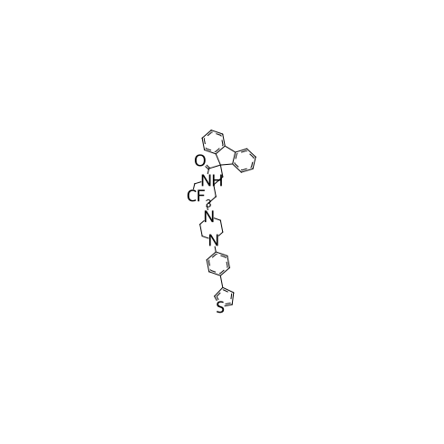 O=C(NCC(F)(F)F)C1(CCCCN2CCN(c3ccc(-c4ccsc4)cc3)CC2)c2ccccc2-c2ccccc21